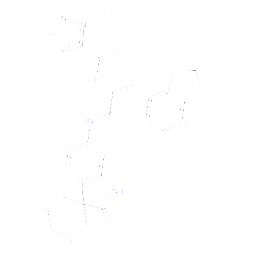 Cn1nccc1C(=O)NC(=Cc1cccc2c1CCO2)C(=O)Nc1ccc2c(c1)NC(=O)C21CCOCC1